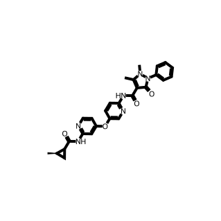 Cc1c(C(=O)Nc2ccc(Oc3ccnc(NC(=O)C4C[C@H]4C)c3)cn2)c(=O)n(-c2ccccc2)n1C